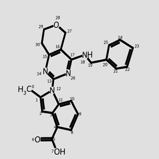 Cc1cc2c(C(=O)O)cccc2n1-c1nc2c(c(NCc3ccccc3)n1)COCC2